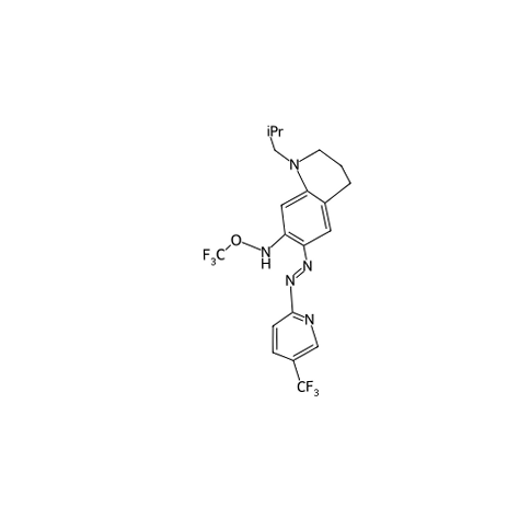 CC(C)CN1CCCc2cc(N=Nc3ccc(C(F)(F)F)cn3)c(NOC(F)(F)F)cc21